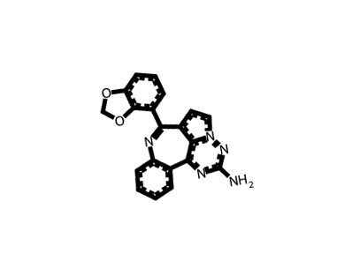 Nc1nc2c3c(ccn3n1)C(c1cccc3c1OCO3)=Nc1ccccc1-2